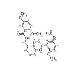 COc1ccc(OC)c(C(=O)OO[C]2CC[CH]CC2OOC(=O)c2cc(OC)ccc2OC)c1